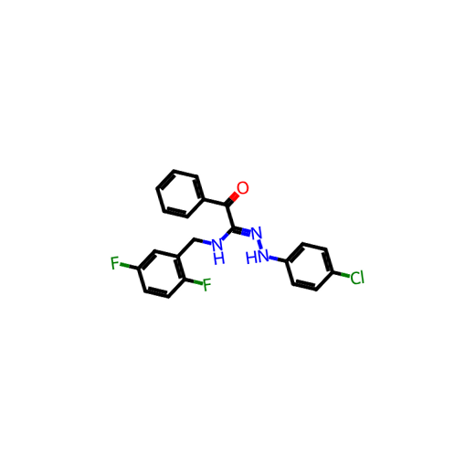 O=C(C(=NNc1ccc(Cl)cc1)NCc1cc(F)ccc1F)c1ccccc1